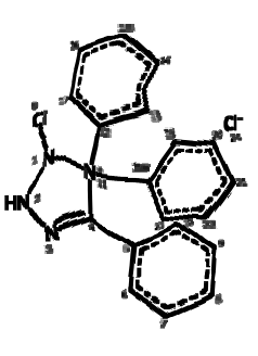 ClN1NN=C(c2ccccc2)[N+]1(c1ccccc1)c1ccccc1.[Cl-]